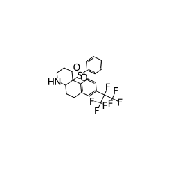 O=S(=O)(c1ccccc1)C12CCCNC1CCc1cc(C(F)(C(F)(F)F)C(F)(F)F)ccc12